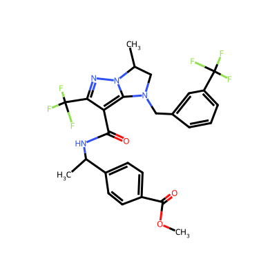 COC(=O)c1ccc(C(C)NC(=O)c2c(C(F)(F)F)nn3c2N(Cc2cccc(C(F)(F)F)c2)CC3C)cc1